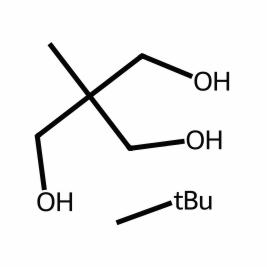 CC(C)(C)C.CC(CO)(CO)CO